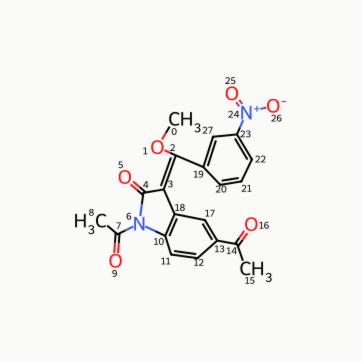 CO/C(=C1\C(=O)N(C(C)=O)c2ccc(C(C)=O)cc21)c1cccc([N+](=O)[O-])c1